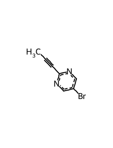 CC#Cc1ncc(Br)cn1